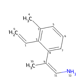 C=Cc1c(C)cccc1/C(C)=C\N